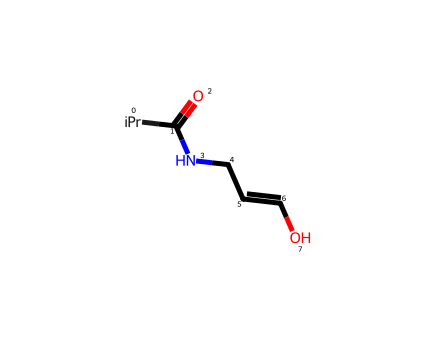 CC(C)C(=O)NCC=CO